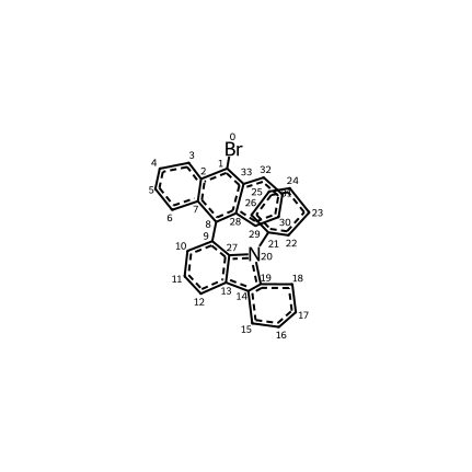 Brc1c2ccccc2c(-c2cccc3c4ccccc4n(-c4ccccc4)c23)c2ccccc12